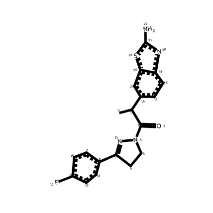 CC(C(=O)N1CCC(c2ccc(F)cc2)=N1)c1ccc2nc(N)sc2c1